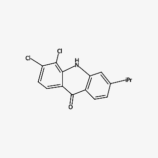 CC(C)c1ccc2c(=O)c3ccc(Cl)c(Cl)c3[nH]c2c1